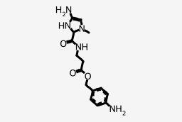 CN1C=C(N)NC1C(=O)NCCC(=O)OCc1ccc(N)cc1